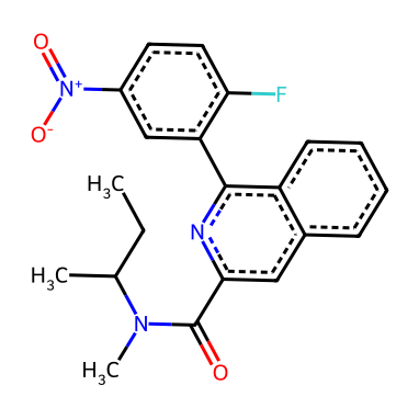 CCC(C)N(C)C(=O)c1cc2ccccc2c(-c2cc([N+](=O)[O-])ccc2F)n1